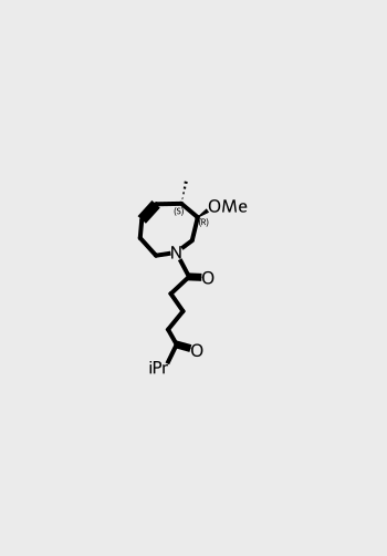 CO[C@H]1CN(C(=O)CCCC(=O)C(C)C)CCC#C[C@@H]1C